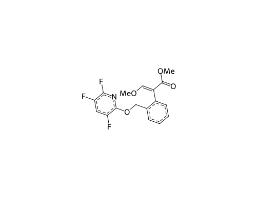 CO/C=C(/C(=O)OC)c1ccccc1COc1nc(F)c(F)cc1F